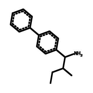 CCC(C)C(N)c1ccc(-c2ccccc2)cc1